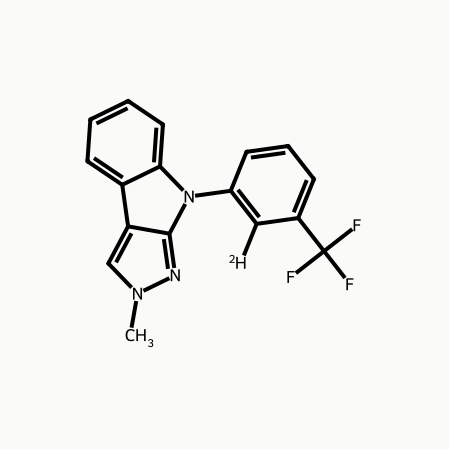 [2H]c1c(-n2c3ccccc3c3cn(C)nc32)cccc1C(F)(F)F